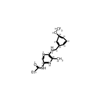 CCC(=O)Nc1cnc(NCc2cccc(OC(F)(F)F)c2)c(C)n1